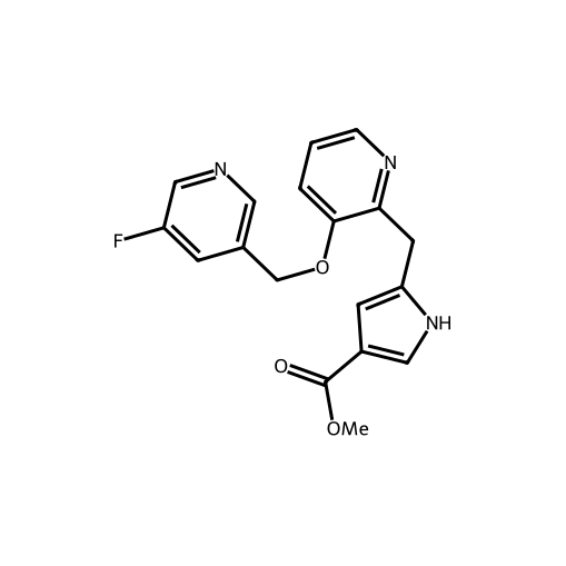 COC(=O)c1c[nH]c(Cc2ncccc2OCc2cncc(F)c2)c1